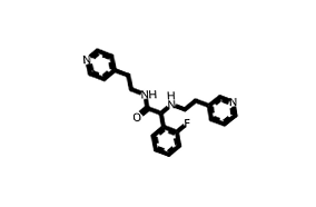 O=C(NCCc1ccncc1)C(NCCc1cccnc1)c1ccccc1F